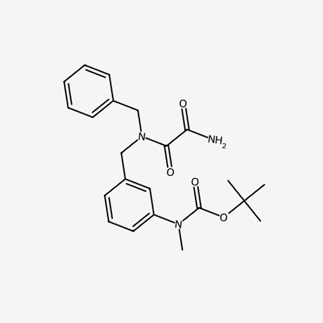 CN(C(=O)OC(C)(C)C)c1cccc(CN(Cc2ccccc2)C(=O)C(N)=O)c1